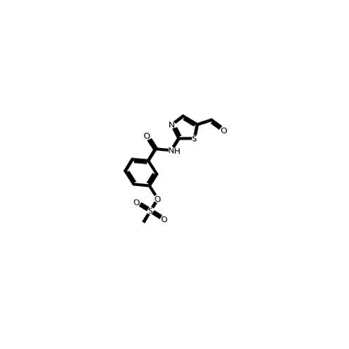 CS(=O)(=O)Oc1cccc(C(=O)Nc2ncc(C=O)s2)c1